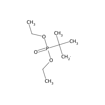 [CH2]C(C)(C)P(=O)(OCC)OCC